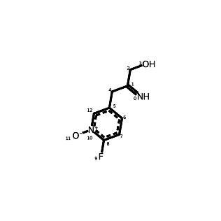 N=C(CO)Cc1ccc(F)[n+]([O-])c1